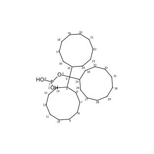 OP(O)OC(C1CCCCCCCCC1)(C1CCCCCCCCC1)C1CCCCCCCCC1